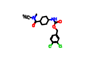 CN(C#N)C(=O)C1CCC(NC(=O)OCc2ccc(Cl)c(Cl)c2)CC1